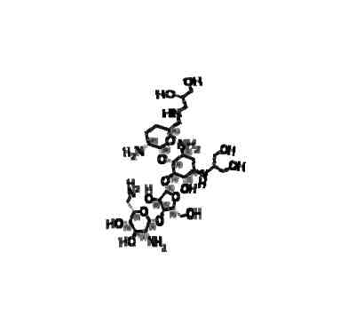 NC[C@@H]1O[C@H](O[C@H]2[C@@H](O)[C@H](O[C@@H]3[C@@H](O)[C@H](NC(CO)CO)C[C@H](N)[C@H]3O[C@H]3O[C@H](CNCC(O)CO)CC[C@H]3N)O[C@@H]2CO)[C@H](N)[C@@H](O)[C@@H]1O